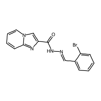 O=C(N/N=C/c1ccccc1Br)c1cn2ccccc2n1